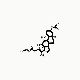 CCOC(=O)CC[C@@H](C)[C@H]1CCC2C3CC[C@@H]4C[C@H](OC(C)=O)CC[C@]4(C)C3C[C@H](O)[C@@]21C